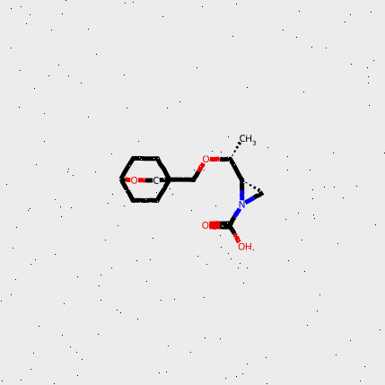 C[C@@H](OCC12CCC(CC1)OC2)[C@@H]1CN1C(=O)O